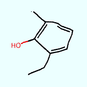 [CH2]c1cccc(CC)c1O